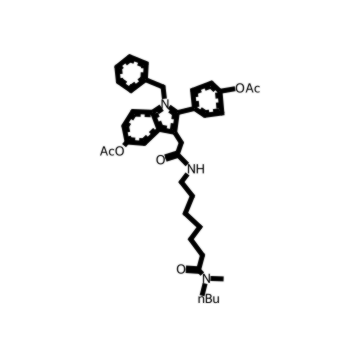 CCCCN(C)C(=O)CCCCCCNC(=O)Cc1c(-c2ccc(OC(C)=O)cc2)n(Cc2ccccc2)c2ccc(OC(C)=O)cc12